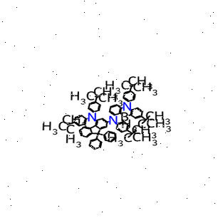 CC(C)(C)c1ccc(N(c2ccc(C(C)(C)C)cc2)c2cc(N3c4ccc(C(C)(C)C)cc4B4c5cc(C(C)(C)C)ccc5N(c5ccc(C(C)(C)C)cc5)c5cccc3c54)cc3c2-c2ccccc2C3(c2ccccc2)c2ccccc2)cc1